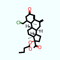 C=C1C[C@H]2[C@@H]3CC[C@](OC(=O)CCC)(C(C)=O)[C@@]3(C)CC[C@@H]2[C@]2(C)C1=CC(=O)CC2CCl